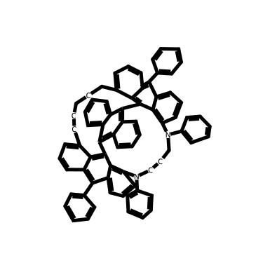 c1ccc(-c2c3cccc4c3c3c5c(cccc25)N(c2ccccc2)CCCN(c2ccccc2)c2cccc5c(-c6ccccc6)c6cccc(c6c(c25)-c2c5ccccc5c-3c3ccccc23)CCCCC4)cc1